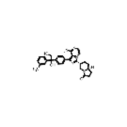 Nc1nccn2c([C@@H]3CC[C@H]4CCC(=O)N4C3)nc(-c3ccc([C@@](O)(CO)c4cccc(C(F)(F)F)c4)cc3)c12